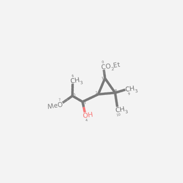 CCOC(=O)C1C(C(O)C(C)OC)C1(C)C